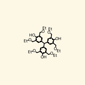 CCOCc1cc(C(c2cc(COCC)c(O)c(COCC)c2)c2cc(COCC)c(O)c(COCC)c2)cc(COCC)c1O